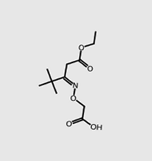 CCOC(=O)CC(=NOCC(=O)O)C(C)(C)C